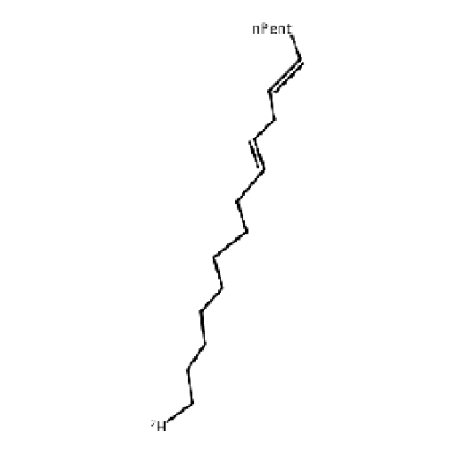 [2H]CCCCCCCCC=CCC=CCCCCC